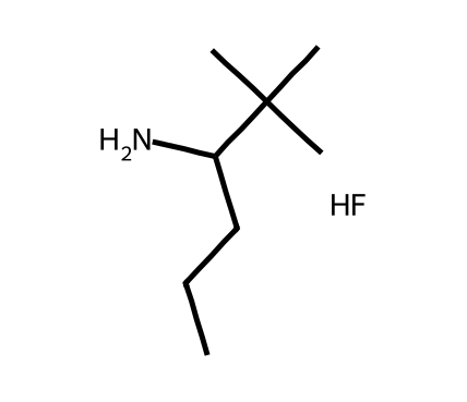 CCCC(N)C(C)(C)C.F